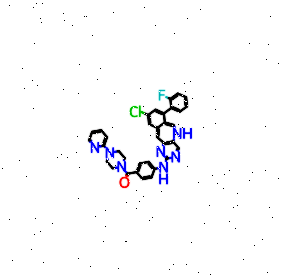 O=C(c1ccc(Nc2ncc3c(n2)C=c2cc(Cl)cc(-c4ccccc4F)c2=CN3)cc1)N1CCN(c2ccccn2)CC1